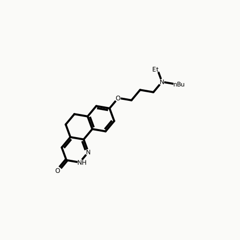 CCCCN(CC)CCCOc1ccc2c(c1)CCc1cc(=O)[nH]nc1-2